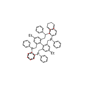 CCc1cc(CC(CC2=CCCC=C2)c2ccccc2)c(-c2c(CP(c3ccccc3)c3ccccc3)cc(CC)cc2CP(c2ccccc2)c2ccccc2)c(CP(c2ccccc2)c2ccccc2)c1